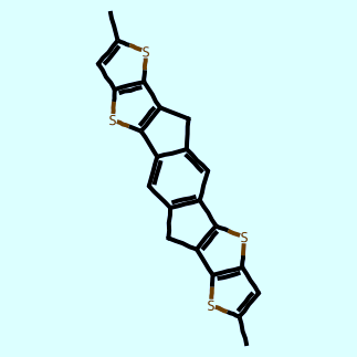 Cc1cc2sc3c(c2s1)Cc1cc2c(cc1-3)Cc1c-2sc2cc(C)sc12